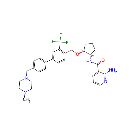 CN1CCN(Cc2ccc(-c3ccc(CO[C@H]4CCC[C@@H]4NC(=O)c4cccnc4N)c(C(F)(F)F)c3)cc2)CC1